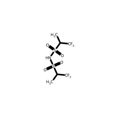 CC(C(F)(F)F)S(=O)(=O)NS(=O)(=O)C(C)C(F)(F)F